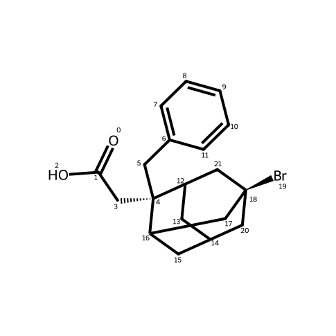 O=C(O)C[C@]1(Cc2ccccc2)C2CC3CC1C[C@@](Br)(C3)C2